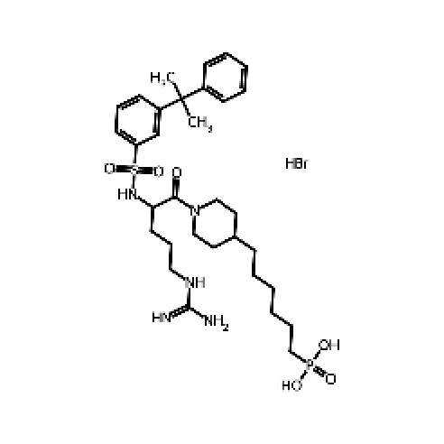 Br.CC(C)(c1ccccc1)c1cccc(S(=O)(=O)NC(CCCNC(=N)N)C(=O)N2CCC(CCCCCCP(=O)(O)O)CC2)c1